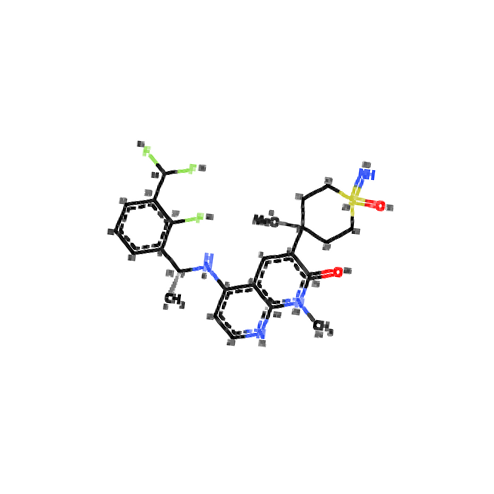 COC1(c2cc3c(N[C@H](C)c4cccc(C(F)F)c4F)ccnc3n(C)c2=O)CCS(=N)(=O)CC1